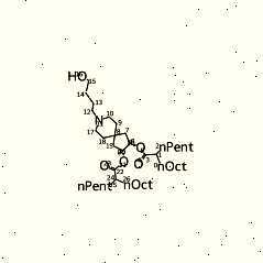 CCCCCCCCC(CCCCC)C(=O)O[C@@H]1CC2(CCN(CCCCO)CC2)C[C@H]1OC(=O)C(CCCCC)CCCCCCCC